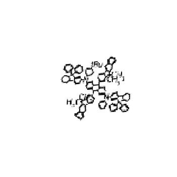 CC(C)(C)c1ccc(N(c2ccc3c(c2)C(c2ccccc2)(c2ccccc2)c2ccccc2-3)c2ccc3c(-c4ccc5c(c4)C(C)(C)c4cc6ccccc6cc4-5)c4cc(N(c5ccccc5)c5ccc6c(c5)C(c5ccccc5)(c5ccccc5)c5ccccc5-6)ccc4c(-c4ccc5c(c4)C(C)(C)c4cc6ccccc6cc4-5)c3c2)cc1